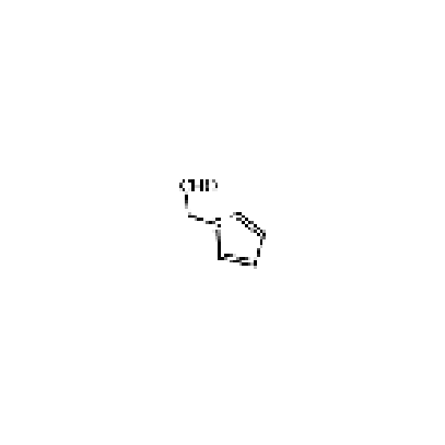 O=CC[SH]1C=CC=C1